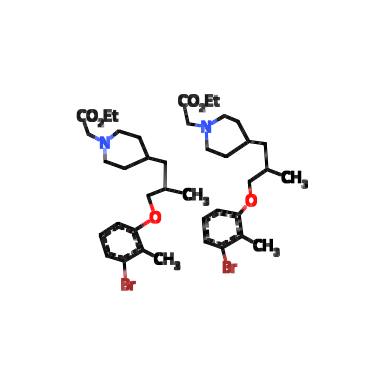 CCOC(=O)CN1CCC(CC(C)COc2cccc(Br)c2C)CC1.CCOC(=O)CN1CCC(CC(C)COc2cccc(Br)c2C)CC1